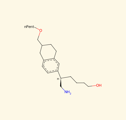 CCCCCOCC1CCc2cc([C@H](CN)CCCCO)ccc2C1